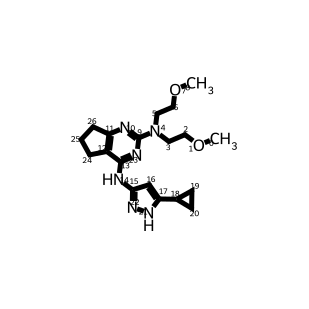 COCCN(CCOC)c1nc2c(c(Nc3cc(C4CC4)[nH]n3)n1)CCC2